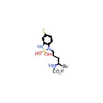 CC(C)(C)C(CCCN1c2ccc(F)cc2NS1(O)O)NC(=O)O